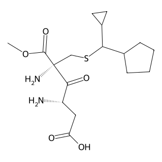 COC(=O)[C@@](N)(CSC(C1CCCC1)C1CC1)C(=O)[C@@H](N)CC(=O)O